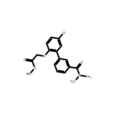 CN(C)C(=O)c1cccc(-c2cc(Cl)ccc2OCC(=O)OC(C)(C)C)c1